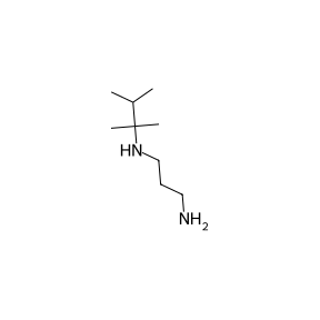 CC(C)C(C)(C)NCCCN